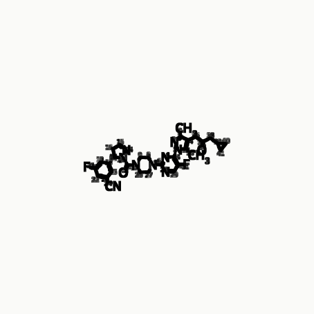 Cc1nn(-c2nc(N3CCN(C(=O)N4N=CC[C@H]4c4cc(F)cc(C#N)c4)CC3)ncc2F)c(C)c1CC(=O)CC1CC1